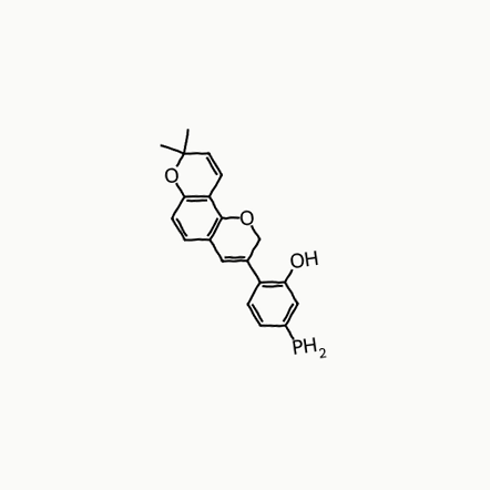 CC1(C)C=Cc2c(ccc3c2OCC(c2ccc(P)cc2O)=C3)O1